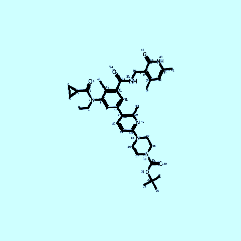 CCN(C(=O)C1CC1)c1cc(-c2ccc(N3CCN(C(=O)OC(C)(C)C)CC3)nc2C)cc(C(=O)NCc2c(C)cc(C)[nH]c2=O)c1C